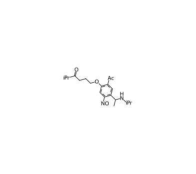 CC(=O)c1cc(C(C)NC(C)C)c(N=O)cc1OCCCC(=O)C(C)C